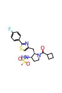 CS(=O)(=O)N[C@@H]1CCN(C(=O)C2CCC2)[C@@H]1Cc1csc(-c2ccc(F)cc2)n1